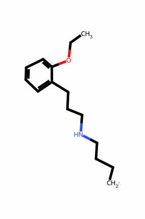 [CH2]CCCNCCCc1ccccc1OCC